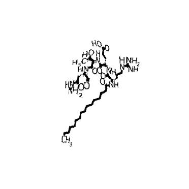 CCCCCCCCCCCCCCCC(=O)N[C@@H](CCCNC(=N)N)C(=O)N[C@@H](CCC(=O)O)C(=O)N[C@H](C(=O)N[C@H](C=O)CC(=O)NN)[C@@H](C)O